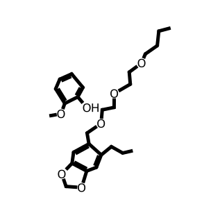 CCCCOCCOCCOCc1cc2c(cc1CCC)OCO2.COc1ccccc1O